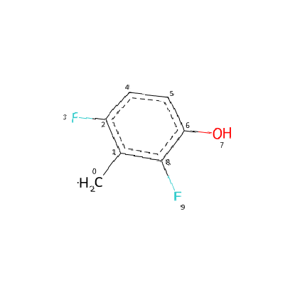 [CH2]c1c(F)ccc(O)c1F